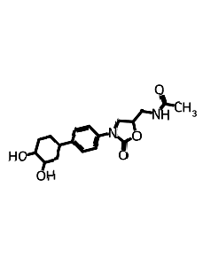 CC(=O)NCC1CN(c2ccc(C3CCC(O)C(O)C3)cc2)C(=O)O1